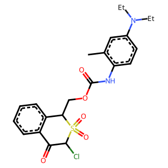 CCN(CC)c1ccc(NC(=O)OCC2c3ccccc3C(=O)C(Cl)S2(=O)=O)c(C)c1